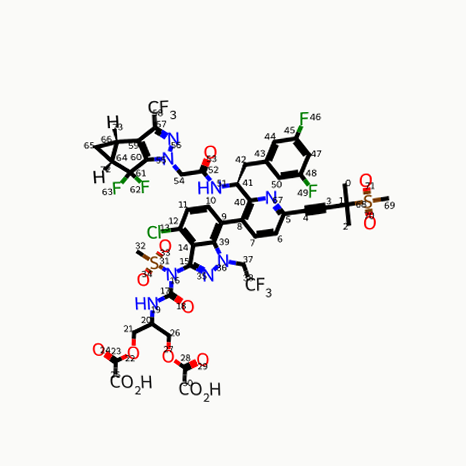 CC(C)(C#Cc1ccc(-c2ccc(Cl)c3c(N(C(=O)NC(COC(=O)C(=O)O)COC(=O)C(=O)O)S(C)(=O)=O)nn(CC(F)(F)F)c23)c([C@H](Cc2cc(F)cc(F)c2)NC(=O)Cn2nc(C(F)(F)F)c3c2C(F)(F)[C@@H]2C[C@H]32)n1)S(C)(=O)=O